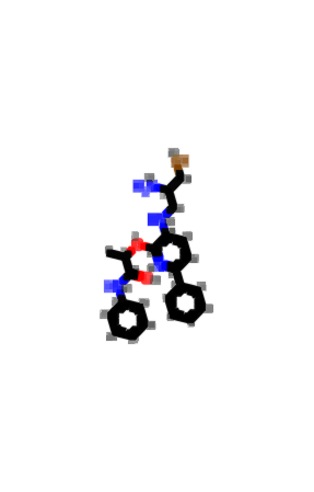 CC(Oc1nc(-c2ccccc2)ccc1NCC(N)CS)C(=O)Nc1ccccc1